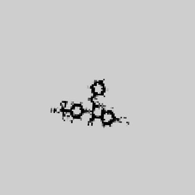 O=c1c2ccc(C(F)(F)F)cc2nc(Cc2ccccc2)n1-c1ccc(C(O)(C(F)(F)F)C(F)(F)F)cc1